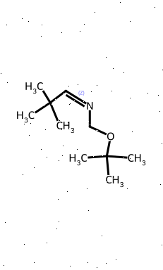 CC(C)(C)/C=N\COC(C)(C)C